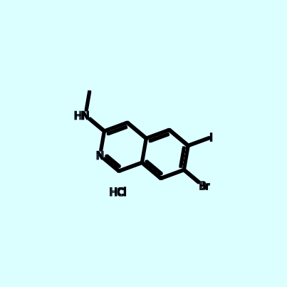 CNc1cc2cc(I)c(Br)cc2cn1.Cl